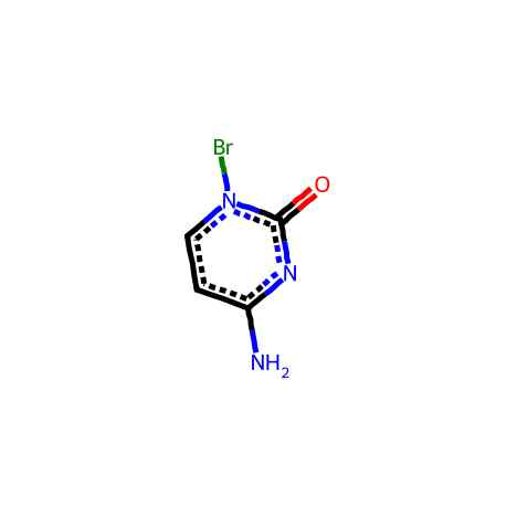 Nc1ccn(Br)c(=O)n1